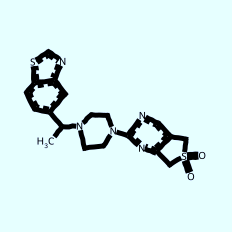 CC(c1ccc2scnc2c1)N1CCN(c2ncc3c(n2)CS(=O)(=O)C3)CC1